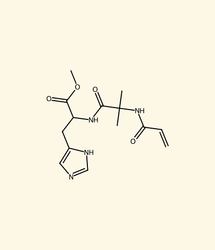 C=CC(=O)NC(C)(C)C(=O)NC(Cc1cnc[nH]1)C(=O)OC